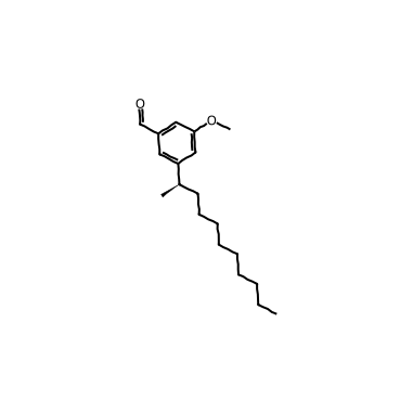 CCCCCCCCC[C@@H](C)c1cc(C=O)cc(OC)c1